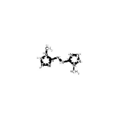 Cn1nnnc1N=Nc1nnnn1C